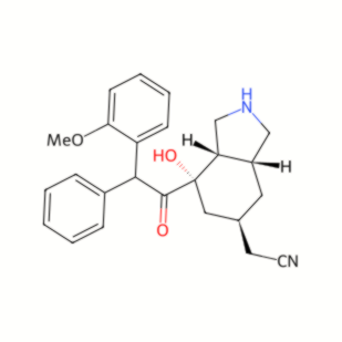 COc1ccccc1C(C(=O)[C@]1(O)C[C@H](CC#N)C[C@H]2CNC[C@H]21)c1ccccc1